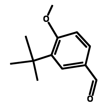 COc1ccc(C=O)cc1C(C)(C)C